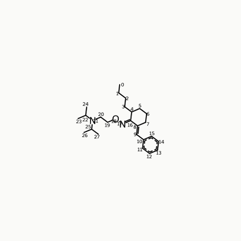 CCCCC1CCCC(=C\c2ccccc2)/C1=N/OCCN(C(C)C)C(C)C